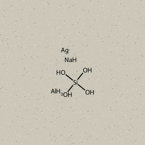 O[Si](O)(O)O.[Ag].[AlH3].[NaH]